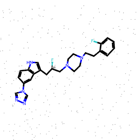 Fc1ccccc1CCN1CCN(C[C@H](F)Cc2c[nH]c3ccc(-n4cnnc4)cc23)CC1